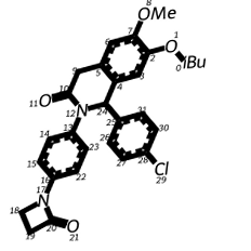 CCC(C)Oc1cc2c(cc1OC)CC(=O)N(c1ccc(N3CCC3=O)cc1)C2c1ccc(Cl)cc1